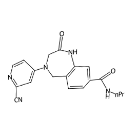 CCCNC(=O)c1ccc2c(c1)NC(=O)CN(c1ccnc(C#N)c1)C2